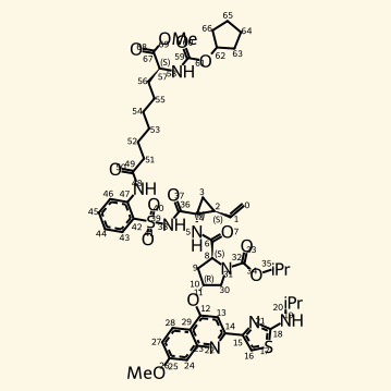 C=C[C@@H]1C[C@]1(NC(=O)[C@@H]1C[C@@H](Oc2cc(-c3csc(NC(C)C)n3)nc3cc(OC)ccc23)CN1C(=O)OC(C)C)C(=O)NS(=O)(=O)c1ccccc1NC(=O)CCCCCC[C@H](NC(=O)OC1CCCC1)C(=O)OC